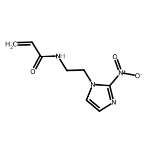 C=CC(=O)NCCn1ccnc1[N+](=O)[O-]